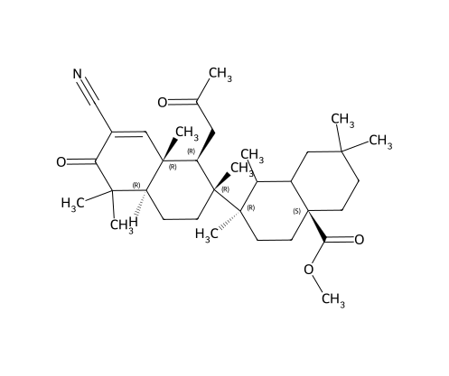 COC(=O)[C@]12CCC(C)(C)CC1C(C)[C@](C)([C@]1(C)CC[C@H]3C(C)(C)C(=O)C(C#N)=C[C@]3(C)[C@H]1CC(C)=O)CC2